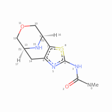 CNC(=O)Nc1nc2c(s1)[C@@H]1COC[C@H](C2)N1